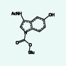 CC(=O)Nc1cn(C(=O)OC(C)(C)C)c2ccc(O)cc12